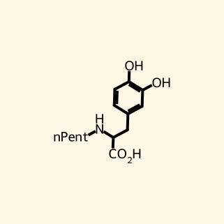 CCCCCNC(Cc1ccc(O)c(O)c1)C(=O)O